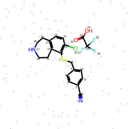 N#Cc1ccc(CSc2c(Cl)ccc3c2CCNCC3)cc1.O=C(O)C(F)(F)F